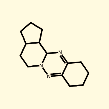 C1CCC2=NN3CCC4CCCC4C3N=C2C1